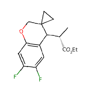 CCOC(=O)[C@@H](C)C1c2cc(F)c(F)cc2OCC12CC2